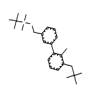 Cc1c(CC(C)(C)C)cccc1-c1cccc(CO[Si](C)(C)C(C)(C)C)c1